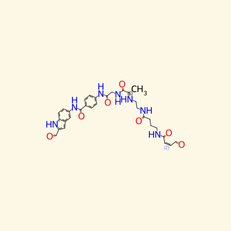 C[C@H](NCCNC(=O)CCCNC(=O)/C=C\C=O)C(=O)NCC(=O)Nc1ccc(C(=O)Nc2ccc3[nH]c(C=O)cc3c2)cc1